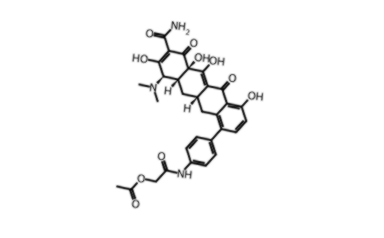 CC(=O)OCC(=O)Nc1ccc(-c2ccc(O)c3c2C[C@@H]2C[C@@H]4[C@@H](N(C)C)C(O)=C(C(N)=O)C(=O)[C@]4(O)C(O)=C2C3=O)cc1